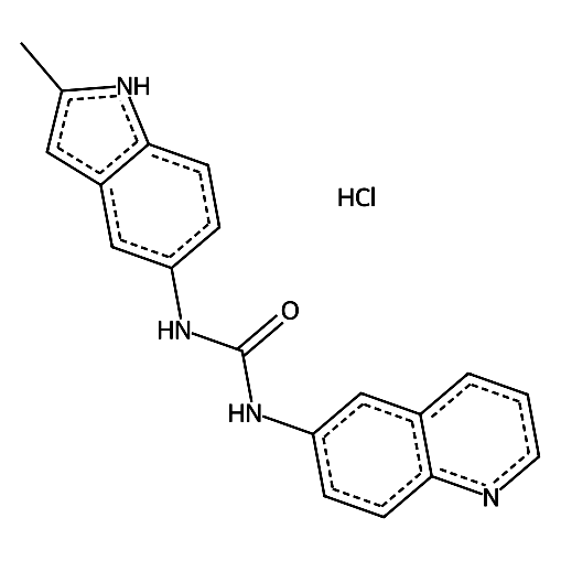 Cc1cc2cc(NC(=O)Nc3ccc4ncccc4c3)ccc2[nH]1.Cl